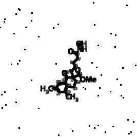 COC(=O)C1(CCCCC(=O)NO)CCc2c(C)cc(C)cc2C1=O